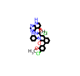 COc1cc(-c2cccc3c(Cl)c([C@H](C)Nc4ncnc5[nH]ccc(=O)c45)n(-c4ccccc4)c(=O)c23)ccc1Cl